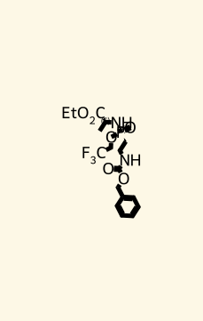 CCOC(=O)[C@H](C)N[P@](=O)(CCNC(=O)OCc1ccccc1)OCC(F)(F)F